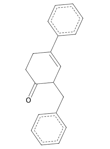 O=C1CCC(c2ccccc2)=CC1Cc1ccccc1